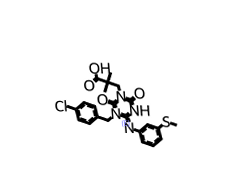 CSc1cccc(/N=c2\[nH]c(=O)n(CC(C)(C)C(=O)O)c(=O)n2Cc2ccc(Cl)cc2)c1